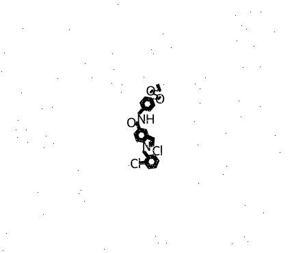 CCS(=O)(=O)c1ccc(CNC(=O)c2ccc3c(ccn3Cc3c(Cl)cccc3Cl)c2)cc1